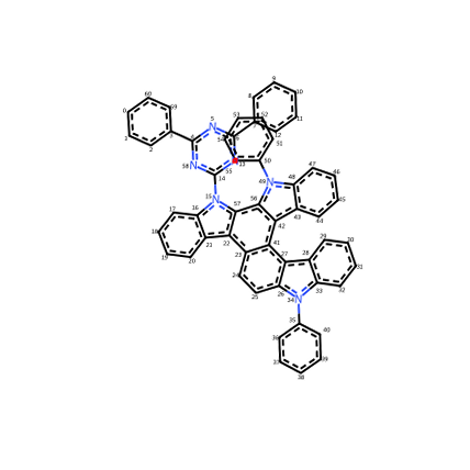 c1ccc(-c2nc(-c3ccccc3)nc(-n3c4ccccc4c4c5ccc6c(c7ccccc7n6-c6ccccc6)c5c5c6ccccc6n(-c6ccccc6)c5c43)n2)cc1